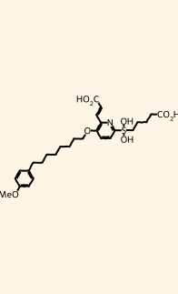 COc1ccc(CCCCCCCCOc2ccc(S(O)(O)CCCCC(=O)O)nc2C=CC(=O)O)cc1